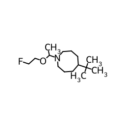 CC(OCCF)N1CCCC(C(C)(C)C)CCC1